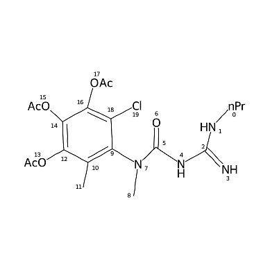 CCCNC(=N)NC(=O)N(C)c1c(C)c(OC(C)=O)c(OC(C)=O)c(OC(C)=O)c1Cl